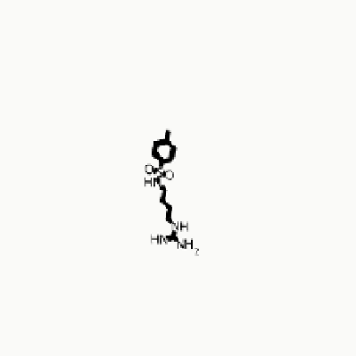 Cc1ccc(S(=O)(=O)NCCCCNC(=N)N)cc1